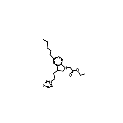 CCCCCc1ccc2c(c1)C(CCn1ccnc1)CN2CC(=O)OCC